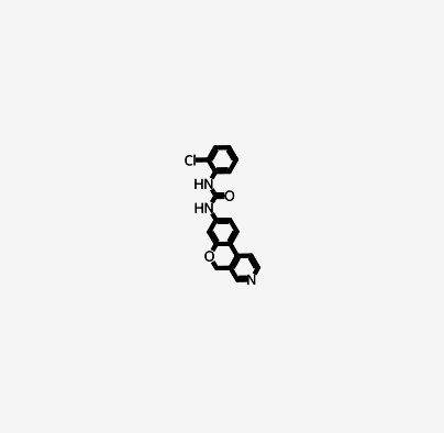 O=C(Nc1ccc2c(c1)OCc1cnccc1-2)Nc1ccccc1Cl